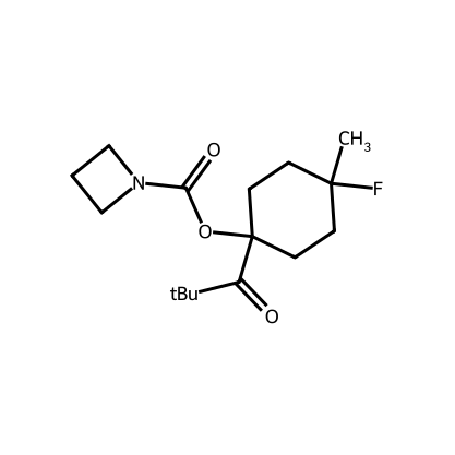 CC1(F)CCC(OC(=O)N2CCC2)(C(=O)C(C)(C)C)CC1